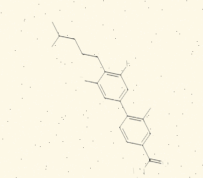 Cc1cc(C(N)=O)ccc1-c1cc(F)c(C[CH]CC(C)C)c(F)c1